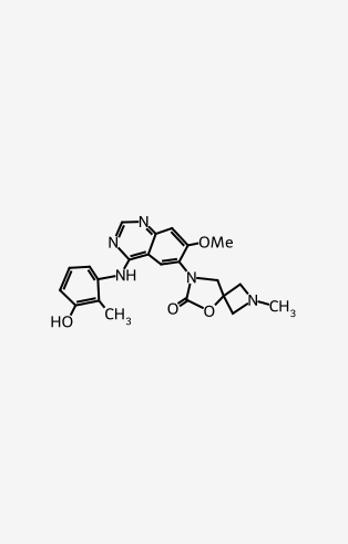 COc1cc2ncnc(Nc3cccc(O)c3C)c2cc1N1CC2(CN(C)C2)OC1=O